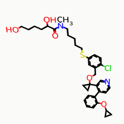 CN(CCCCCSc1ccc(Cl)c(COC2(c3cnccc3-c3ccccc3OC3CC3)CC2)c1)C(=O)C(O)CCCCO